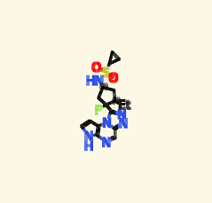 CC[C@@H]1C[C@H](NS(=O)(=O)C2CC2)CC1(F)c1nnc2cnc3[nH]ccc3n12